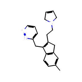 Cc1ccc2c(c1)CC(CCN1CC=CC1)=C2Cc1cccnn1